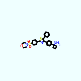 NC1(c2ccc(-c3nc(C4=CCC(S(=O)(=O)N5CCOCC5)C=C4)sc3-c3ccccc3)cc2)CCC1